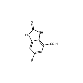 O=C(O)c1cc(F)cc2[nH]c(=O)[nH]c12